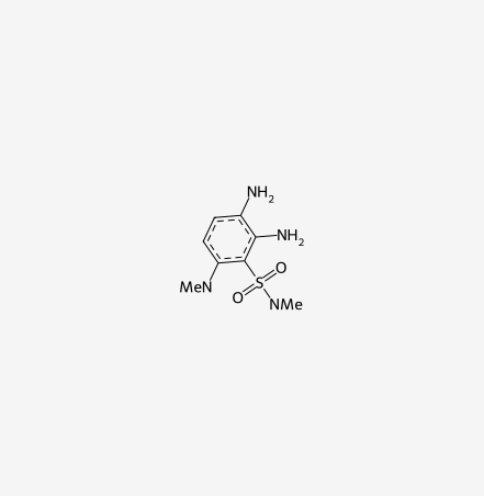 CNc1ccc(N)c(N)c1S(=O)(=O)NC